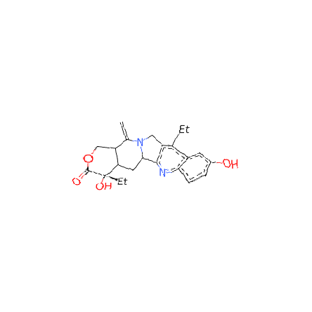 C=C1C2COC(=O)[C@](O)(CC)C2CC2c3nc4ccc(O)cc4c(CC)c3CN12